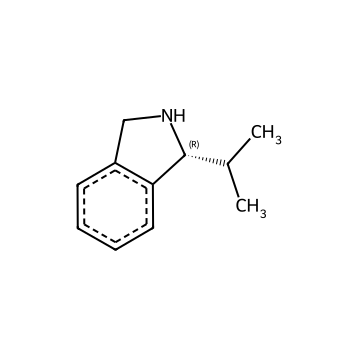 CC(C)[C@H]1NCc2ccccc21